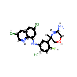 CC1(c2cc(Nc3cc(Cl)cc4cc(Cl)cnc34)ccc2F)COCC(N)=N1.Cl